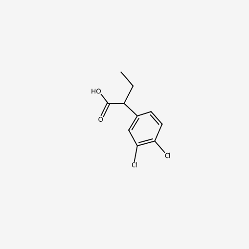 CCC(C(=O)O)c1ccc(Cl)c(Cl)c1